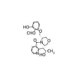 C[C@H](O)Cc1ncccc1C(=O)N1CCOC[C@H]1COc1cccc(O)c1C=O